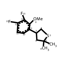 COc1c(C2CSC(C)(C)C2)ccc(F)c1F